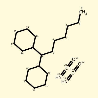 CCCCCCC(C1CCCCC1)C1CCCCC1.N=C=O.N=C=O